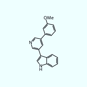 COc1cccc(-c2cncc(-c3c[nH]c4ccccc34)c2)c1